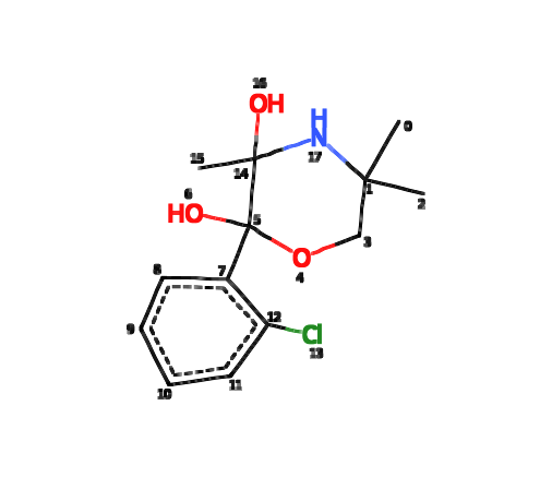 CC1(C)COC(O)(c2ccccc2Cl)C(C)(O)N1